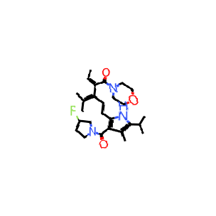 C/C=C(\C(=O)N1CCOCC1)C(CCc1[nH]c(C(C)C)c(C)c1C(=O)N1CC[C@@H](F)C1)=C(C)C